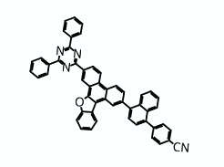 N#Cc1ccc(-c2ccc(-c3ccc4c5ccc(-c6nc(-c7ccccc7)nc(-c7ccccc7)n6)cc5c5oc6ccccc6c5c4c3)c3ccccc23)cc1